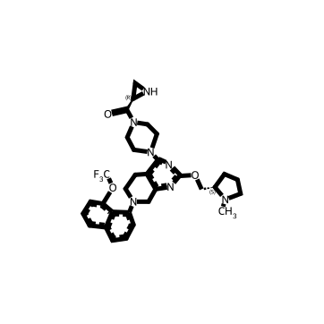 CN1CCC[C@H]1COc1nc2c(c(N3CCN(C(=O)[C@H]4CN4)CC3)n1)CCN(c1cccc3cccc(OC(F)(F)F)c13)C2